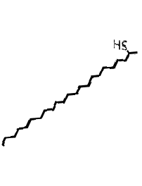 CCCCCCCCCCCCCCCCCCCCCC(C)S